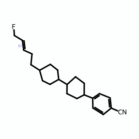 N#Cc1ccc(C2CCC(C3CCC(CC/C=C/CF)CC3)CC2)cc1